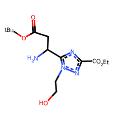 CCOC(=O)c1nc(C(N)CC(=O)OC(C)(C)C)n(CCO)n1